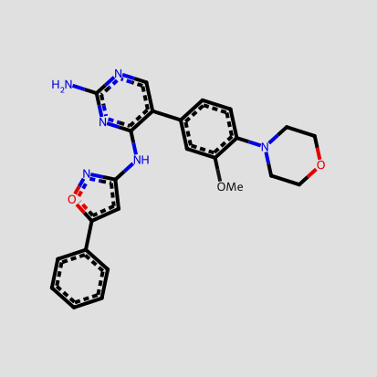 COc1cc(-c2cnc(N)nc2Nc2cc(-c3ccccc3)on2)ccc1N1CCOCC1